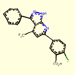 O=C(O)c1cc(-c2cc(C(F)(F)F)c3c(-c4ccccc4)n[nH]c3n2)ccc1F